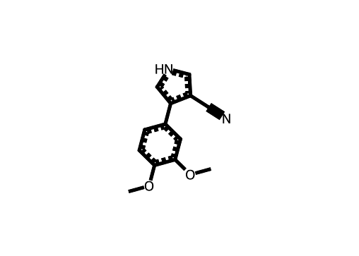 COc1ccc(-c2c[nH]cc2C#N)cc1OC